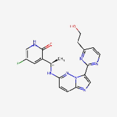 C[C@@H](Nc1ccc2ncc(-c3nccc(CCO)n3)n2n1)c1cc(F)c[nH]c1=O